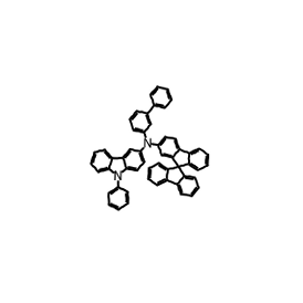 c1ccc(-c2cccc(N(c3ccc4c(c3)C3(c5ccccc5-c5ccccc53)c3ccccc3-4)c3ccc4c(c3)c3ccccc3n4-c3ccccc3)c2)cc1